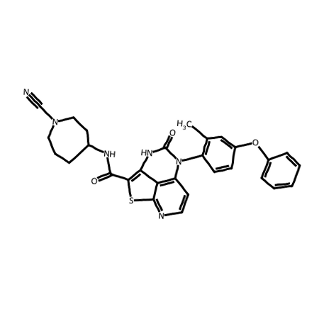 Cc1cc(Oc2ccccc2)ccc1N1C(=O)Nc2c(C(=O)NC3CCCN(C#N)CC3)sc3nccc1c23